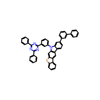 c1ccc(-c2cccc(-c3ccc4c5cc6c(cc5n(-c5cccc(-c7nc(-c8ccccc8)nc(-c8ccccc8)n7)c5)c4c3)sc3ccccc36)c2)cc1